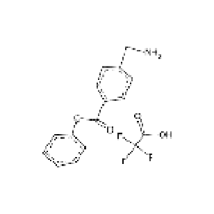 NCc1ccc(C(=O)Oc2ccccc2)cc1.O=C(O)C(F)(F)F